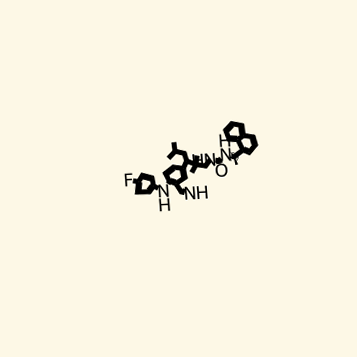 CC(C)CC(c1ccc(Nc2ccc(F)cc2)c(C=N)c1)C(C)(C)CNC(=O)N[C@H](C)c1cccc2ccccc12